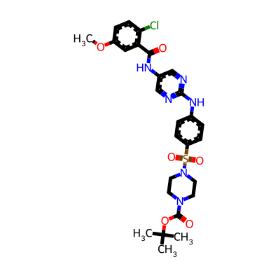 COc1ccc(Cl)c(C(=O)Nc2cnc(Nc3ccc(S(=O)(=O)N4CCN(C(=O)OC(C)(C)C)CC4)cc3)nc2)c1